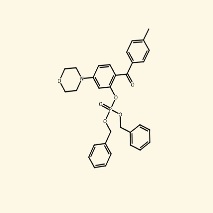 Cc1ccc(C(=O)c2ccc(N3CCOCC3)cc2OP(=O)(OCc2ccccc2)OCc2ccccc2)cc1